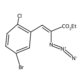 CCOC(=O)C(=Cc1cc(Br)ccc1Cl)N=[N+]=[N-]